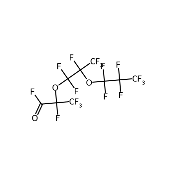 O=C(F)C(F)(OC(F)(F)C(F)(OC(F)(F)C(F)(F)C(F)(F)F)C(F)(F)F)C(F)(F)F